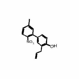 C=CCc1cc(-c2cc(C)ccc2[N+](=O)[O-])ccc1O